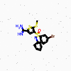 CSc1sc(C(=N)N)cc1S(=O)(=Nc1ccccc1)c1cccc(Br)c1